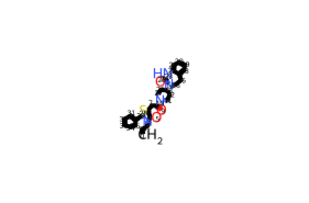 C=CCN1C(=O)C(CC(=O)N2CCC(N3CCc4ccccc4NC3=O)CC2)SC1c1ccccc1